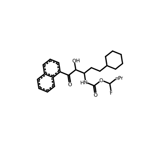 CCCC(F)OC(=O)NC(CCC1CCCCC1)C(O)C(=O)c1cccc2ccccc12